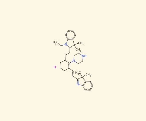 CCN1C(=CC=C2CCCC(C=CC3=Nc4ccccc4C3(C)C)=C2N2CCNCC2)C(C)(C)c2ccccc21.I